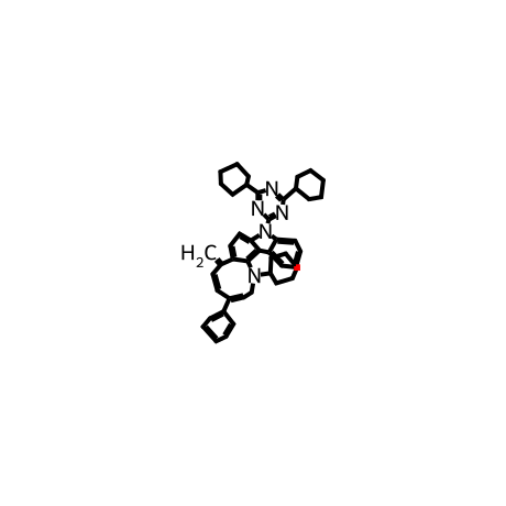 C=C1/C=C\C(c2ccccc2)=C/CN(C2CCCCC2)c2c1ccc1c2c2ccccc2n1-c1nc(C2CCCCC2)nc(C2CCCCC2)n1